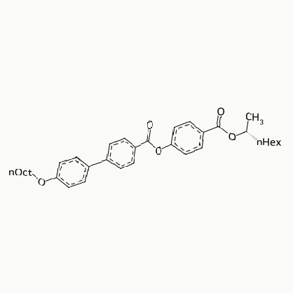 CCCCCCCCOc1ccc(-c2ccc(C(=O)Oc3ccc(C(=O)O[C@H](C)CCCCCC)cc3)cc2)cc1